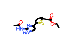 CCOC(=O)c1ccc(-c2c[nH]c(NC(C)=O)n2)s1